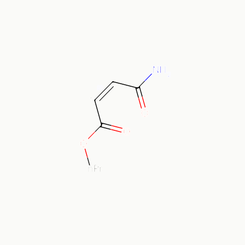 CCCOC(=O)/C=C\C(N)=O